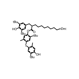 CCCCCCCCCCCCCCCCCCC(Cc1cc(C(C)(C)C)c(O)c(C(C)(C)C)c1)C(=O)Oc1cc(C)c(Sc2cc(C(C)(C)C)c(O)cc2C)cc1C(C)(C)C